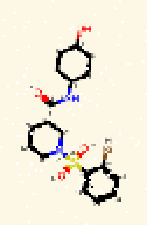 O=C(NC1CCC(O)CC1)[C@H]1CCCN(S(=O)(=O)c2ccccc2Br)C1